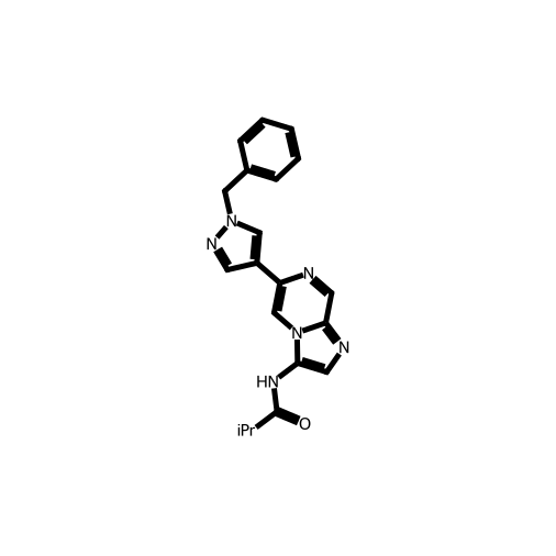 CC(C)C(=O)Nc1cnc2cnc(-c3cnn(Cc4ccccc4)c3)cn12